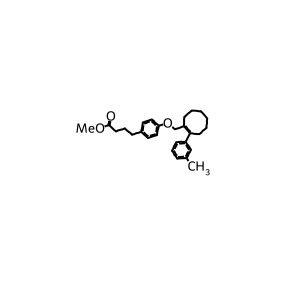 COC(=O)CCCc1ccc(OC/C2=C(\c3cccc(C)c3)CCCCCC2)cc1